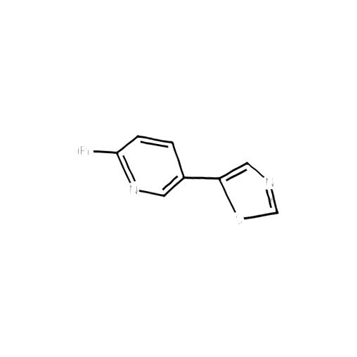 CC(C)c1ccc(-c2cncs2)cn1